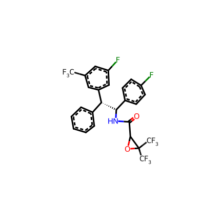 O=C(NC(c1ccc(F)cc1)[C@H](c1ccccc1)c1cc(F)cc(C(F)(F)F)c1)C1OC1(C(F)(F)F)C(F)(F)F